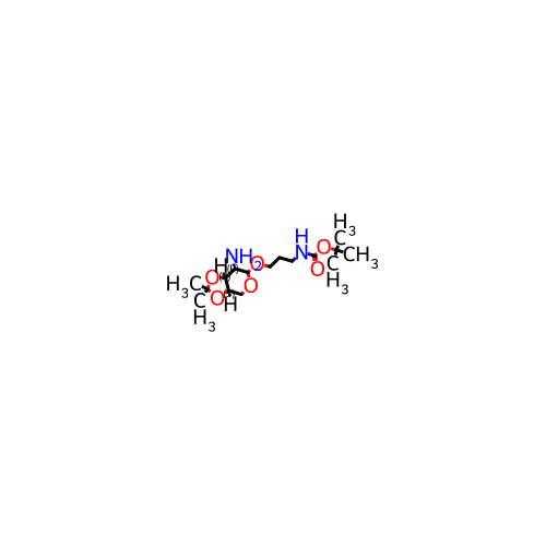 CC(C)(C)OC(=O)NCCCOC1OC[C@@H]2OC(C)(C)O[C@@H]2[C@H]1N